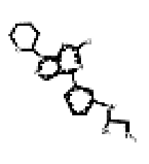 C=CC(O)Nc1cccc(-c2nc(Cl)nc3c2cnn3C2CCCCO2)c1